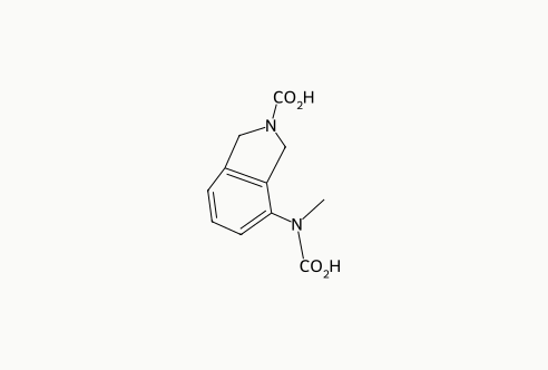 CN(C(=O)O)c1cccc2c1CN(C(=O)O)C2